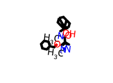 CN(CC1(O)C2CC3CC(C2)CC1C3)C(=O)c1cnn(C)c1OCC1CCCCC1